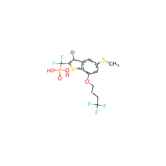 CSc1cc(OCCCC(F)(F)F)c2sc(C(F)(F)P(=O)(O)O)c(Br)c2c1